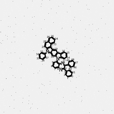 c1ccc(-c2nc3cccc(-n4c5ccccc5c5cc6c7c8ccccc8ccc7n(-c7ccccc7)c6cc54)c3nc2-c2ccccc2)cc1